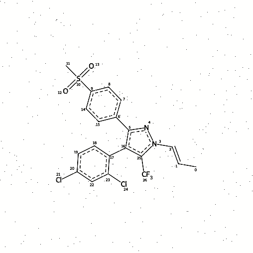 CC=Cn1nc(-c2ccc(S(C)(=O)=O)cc2)c(-c2ccc(Cl)cc2Cl)c1C(F)(F)F